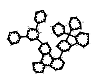 c1ccc(-c2cc(-c3ccc4c(c3)c3ccccc3c3cccc(-c5ccc6c(c5)-c5ccccc5C6(c5ccccc5)c5ccccc5)c34)nc(-c3ccccc3)n2)cc1